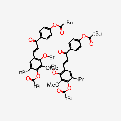 CCCc1cc(C=CC(=O)c2ccc(OC(=O)C(C)(C)C)cc2)c(OCC)c(OC)c1OC(=O)C(C)(C)C.CCOc1c(C=CC(=O)c2ccc(OC(=O)C(C)(C)C)cc2)cc(C(C)C)c(OC(=O)C(C)(C)C)c1OC